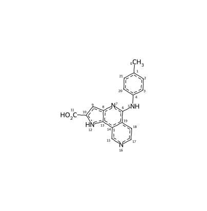 Cc1ccc(Nc2nc3cc(C(=O)O)[nH]c3c3cnccc23)cc1